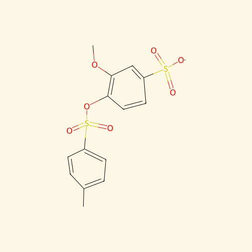 COc1cc(S([O])(=O)=O)ccc1OS(=O)(=O)c1ccc(C)cc1